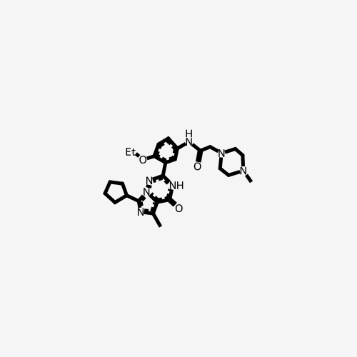 CCOc1ccc(NC(=O)CN2CCN(C)CC2)cc1-c1nn2c(C3CCCC3)nc(C)c2c(=O)[nH]1